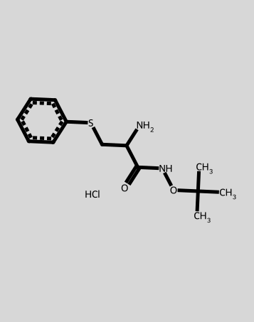 CC(C)(C)ONC(=O)C(N)CSc1ccccc1.Cl